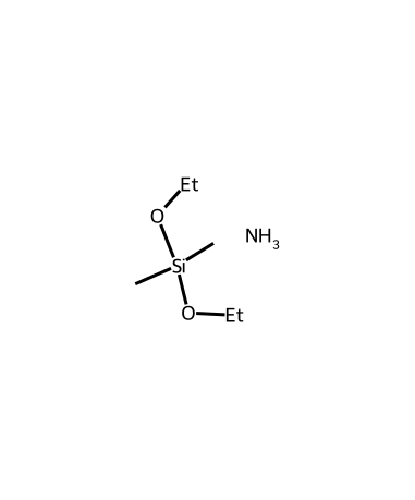 CCO[Si](C)(C)OCC.N